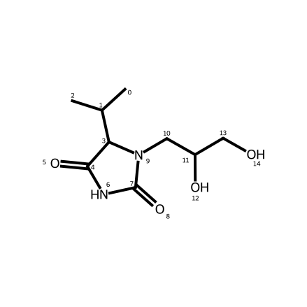 CC(C)C1C(=O)NC(=O)N1CC(O)CO